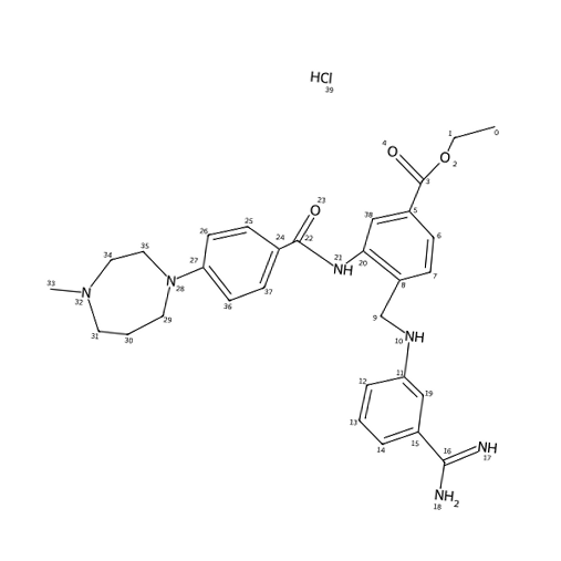 CCOC(=O)c1ccc(CNc2cccc(C(=N)N)c2)c(NC(=O)c2ccc(N3CCCN(C)CC3)cc2)c1.Cl